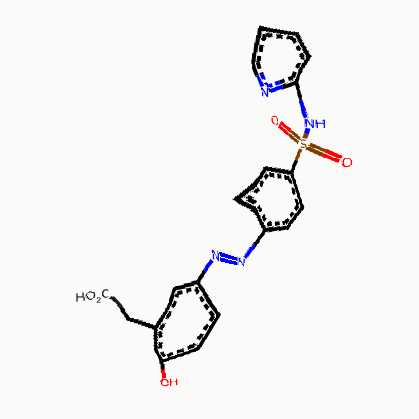 O=C(O)Cc1cc(N=Nc2ccc(S(=O)(=O)Nc3ccccn3)cc2)ccc1O